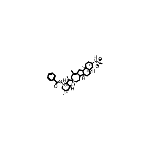 CC1=C2CC3[C@@H](CC[C@@H]4C[C@H](NS(C)(=O)=O)CC[C@]34C)C2CC[C@@]2(C1)O[C@@H]1C[C@H](C)CN(OC(=O)c3ccccc3)[C@H]1[C@H]2C